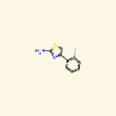 Nc1nc(-c2ccccc2F)cs1